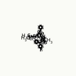 C[Si](C)(C)CCOCn1cc(OCc2ccccc2)c(=O)c(-c2nccn2CC(OS(C)(=O)=O)C(c2ccccc2)c2ccc(F)cc2)n1